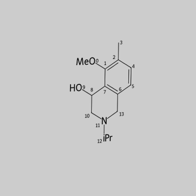 COc1c(C)ccc2c1C(O)CN(C(C)C)C2